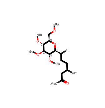 CCCCOC[C@H]1O[C@@H](C(CC)CCC(CCC)CC(=O)OC)[C@H](OCCCC)[C@@H](OCCCC)[C@@H]1OCCCC